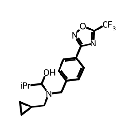 CC(C)C(O)N(Cc1ccc(-c2noc(C(F)(F)F)n2)cc1)CC1CC1